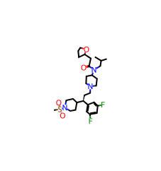 CC(C)CN(C(=O)CC1CCCO1)C1CCN(CC[C@@H](c2cc(F)cc(F)c2)C2CCN(S(C)(=O)=O)CC2)CC1